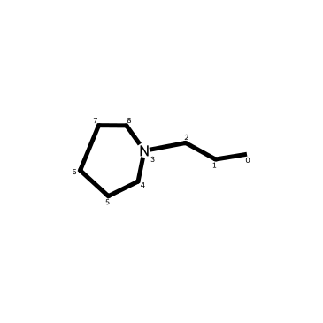 CCCN1CCCCC1